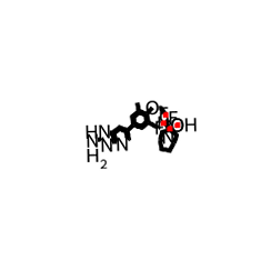 Cc1cc(-c2cnc3nc(N)[nH]c3c2)cc2c1OCCN(C(=O)N1C3CCC1CC(O)(C(F)(F)F)C3)C2